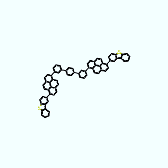 c1cc(-c2ccc(-c3cccc(-c4ccc5ccc6c(-c7ccc8sc9ccccc9c8c7)ccc7ccc4c5c76)c3)cc2)cc(-c2ccc3ccc4c(-c5ccc6sc7ccccc7c6c5)ccc5ccc2c3c54)c1